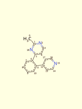 Cc1nccc(-c2ccccc2-c2ccncc2)n1